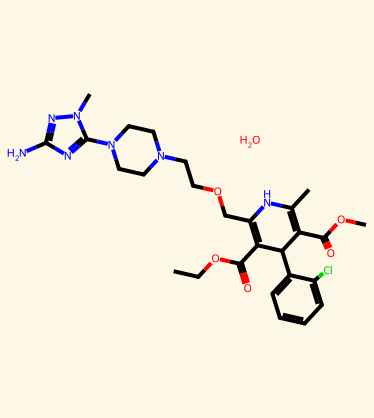 CCOC(=O)C1=C(COCCN2CCN(c3nc(N)nn3C)CC2)NC(C)=C(C(=O)OC)C1c1ccccc1Cl.O